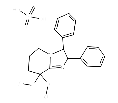 COC1(OC)CCCN2C1=NC(c1ccccc1)C2c1ccccc1.O=S(=O)(O)O